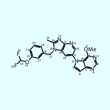 COc1ncnc2ccn(-c3cnc4nc(C)n(Cc5cccc(OC(F)F)c5)c4c3)c12